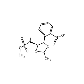 COS(=O)(=O)N[C@@H]1OC(C)O[C@@H]1c1ccccc1[N+](=O)[O-]